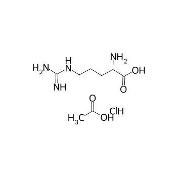 CC(=O)O.Cl.N=C(N)NCCCC(N)C(=O)O